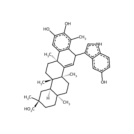 Cc1c(O)c(O)cc2c1C(c1c[nH]c3ccc(O)cc13)C=C1[C@@]2(C)CC[C@@]2(C)[C@@H]3C[C@](C)(C(=O)O)CC[C@]3(C)CC[C@]12C